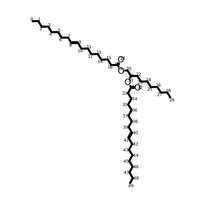 CCCCCCCCC=CCCCCCCCC(=O)OCC(CCCCCCCC)OC(=O)CCCCCCCC=CCCCCCCCC